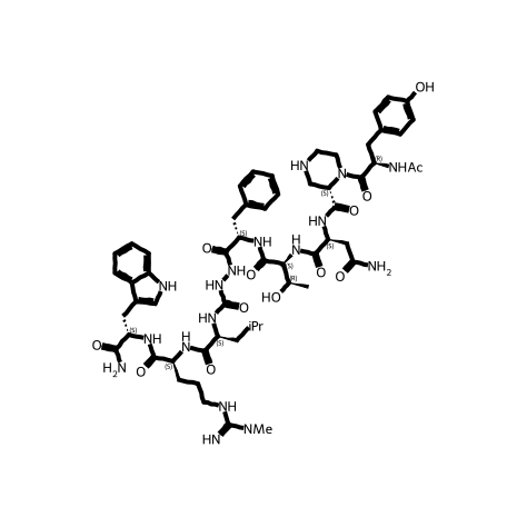 CNC(=N)NCCC[C@H](NC(=O)[C@H](CC(C)C)NC(=O)NNC(=O)[C@H](Cc1ccccc1)NC(=O)[C@@H](NC(=O)[C@H](CC(N)=O)NC(=O)[C@@H]1CNCCN1C(=O)[C@@H](Cc1ccc(O)cc1)NC(C)=O)[C@@H](C)O)C(=O)N[C@@H](Cc1c[nH]c2ccccc12)C(N)=O